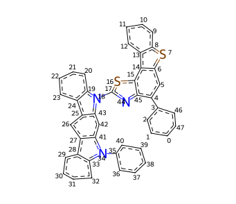 c1ccc(-c2cc3sc4ccccc4c3c3sc(-n4c5ccccc5c5cc6c7ccccc7n(-c7ccccc7)c6cc54)nc23)cc1